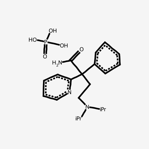 CC(C)N(CCC(C(N)=O)(c1ccccc1)c1ccccn1)C(C)C.O=P(O)(O)O